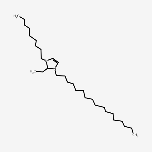 CCCCCCCCCCCCCCCCCN1C=CN(CCCCCCCCC)C1CC